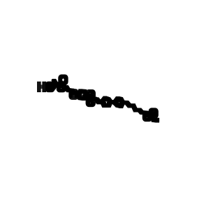 C=CC(=O)OCCCCCCCc1ccc(-c2ccc(/C=C/C(=O)Oc3ccc(OCCCOC(=O)C(=C)CO)cc3)cc2)cc1